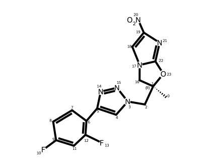 C[C@]1(Cn2cc(-c3ccc(F)cc3F)nn2)Cn2cc([N+](=O)[O-])nc2O1